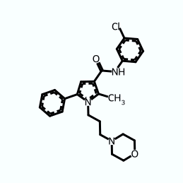 Cc1c(C(=O)Nc2cccc(Cl)c2)cc(-c2ccccc2)n1CCCN1CCOCC1